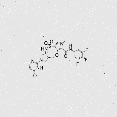 Cn1cc2c(c1C(=O)Nc1cc(F)c(F)c(F)c1)OCC1CN(c3nccc(=O)[nH]3)CC1NS2(=O)=O